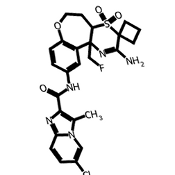 Cc1c(C(=O)Nc2ccc3c(c2)C2(CF)N=C(N)C4(CCC4)S(=O)(=O)C2CCO3)nc2ccc(Cl)cn12